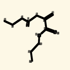 C=C(CNCCC)C(=O)OCCC